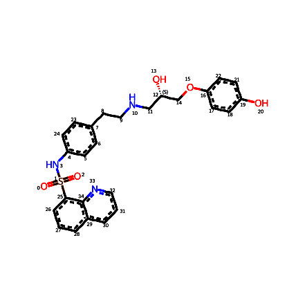 O=S(=O)(Nc1ccc(CCNC[C@H](O)COc2ccc(O)cc2)cc1)c1cccc2cccnc12